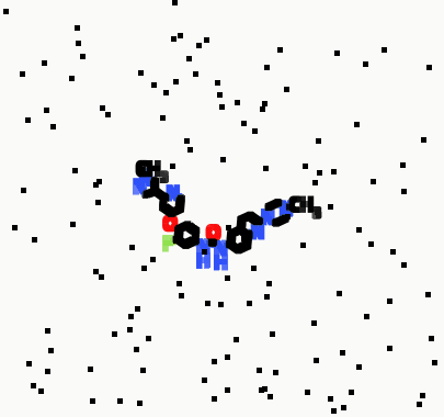 CN1CCN(c2ccc3cc(NC(=O)Nc4ccc(Oc5ccnc(-c6cnn(C)c6)c5)c(F)c4)ccc3n2)CC1